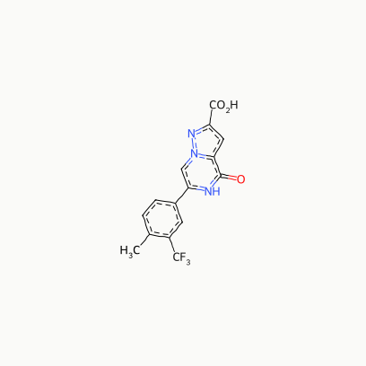 Cc1ccc(-c2cn3nc(C(=O)O)cc3c(=O)[nH]2)cc1C(F)(F)F